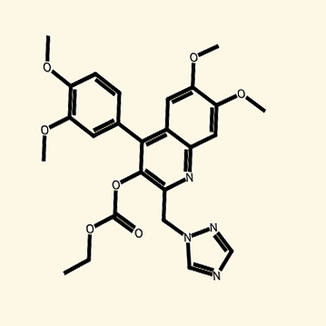 CCOC(=O)Oc1c(Cn2cncn2)nc2cc(OC)c(OC)cc2c1-c1ccc(OC)c(OC)c1